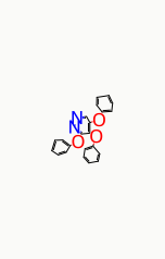 c1ccc(Oc2cnnc(Oc3ccccc3)c2Oc2ccccc2)cc1